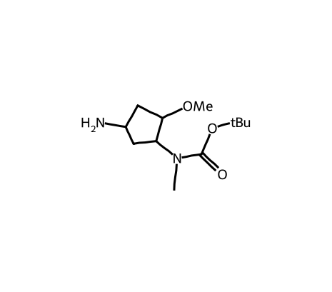 COC1CC(N)CC1N(C)C(=O)OC(C)(C)C